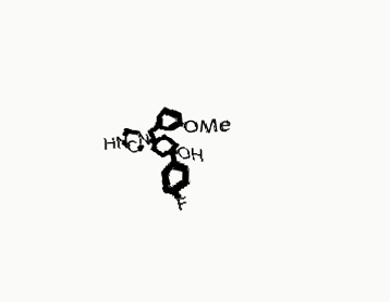 COc1cccc(CC2(N3CCNCC3)CCC(O)(c3ccc(F)cc3)CC2)c1